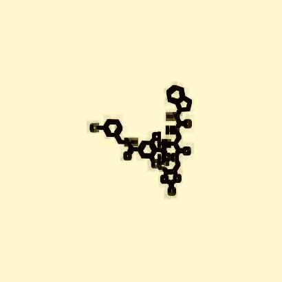 Cc1oc(=O)oc1COC(=O)[C@H](CNC(=O)N[C@@H]1CCc2ccccc21)NC(=O)c1c(Cl)cc(C(=O)NCc2cccc(Cl)c2)cc1Cl